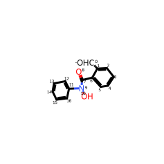 O=[C]c1ccccc1C(=O)N(O)c1ccccc1